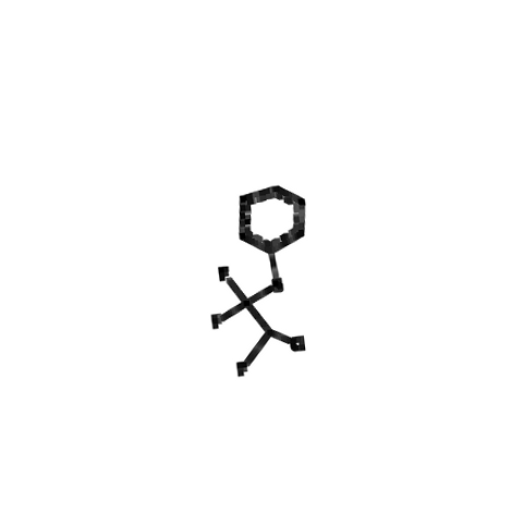 FC(Cl)C(F)(F)Sc1ccccc1